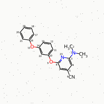 CN(C)c1cc(C#N)cc(Oc2cccc(Oc3ccccc3)c2)n1